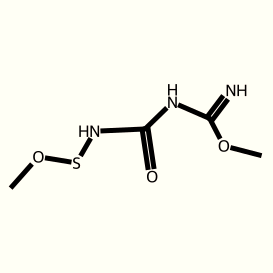 COSNC(=O)NC(=N)OC